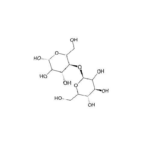 OCC1O[C@@H](O[C@@H]2C(CO)O[C@@H](O)C(O)[C@H]2O)C(O)[C@@H](O)[C@@H]1O